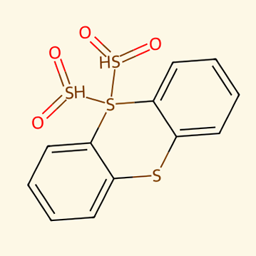 O=[SH](=O)S1([SH](=O)=O)c2ccccc2Sc2ccccc21